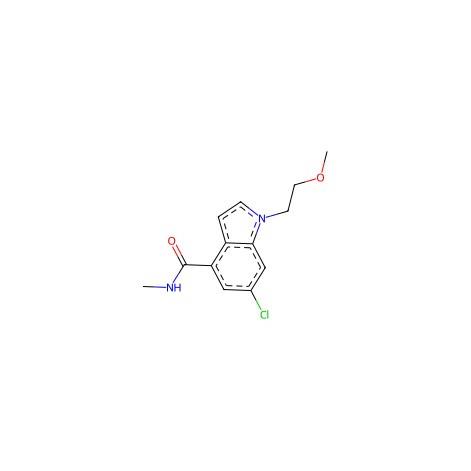 CNC(=O)c1cc(Cl)cc2c1ccn2CCOC